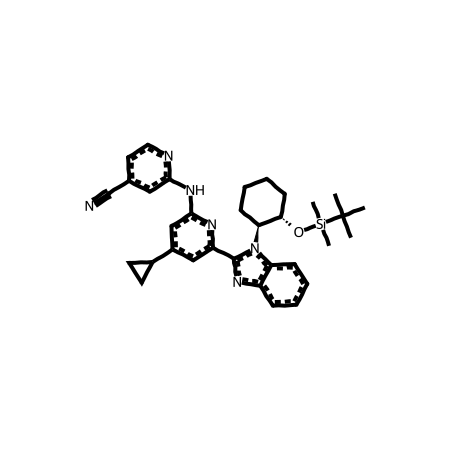 CC(C)(C)[Si](C)(C)O[C@H]1CCCC[C@@H]1n1c(-c2cc(C3CC3)cc(Nc3cc(C#N)ccn3)n2)nc2ccccc21